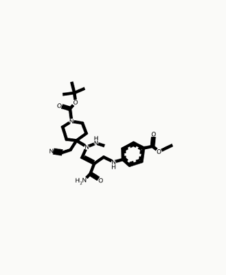 CNN(/C=C(\CNc1ccc(C(=O)OC)cc1)C(N)=O)C1(CC#N)CCN(C(=O)OC(C)(C)C)CC1